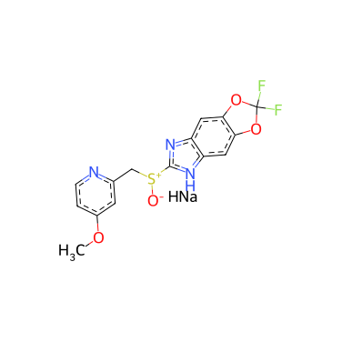 COc1ccnc(C[S+]([O-])c2nc3cc4c(cc3[nH]2)OC(F)(F)O4)c1.[NaH]